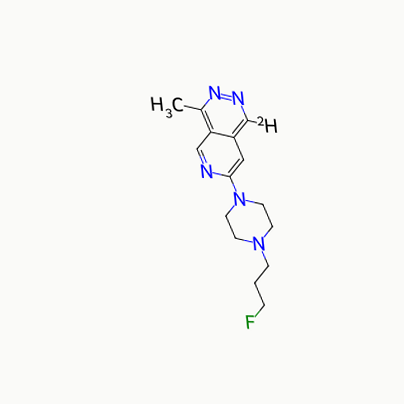 [2H]c1nnc(C)c2cnc(N3CCN(CCCF)CC3)cc12